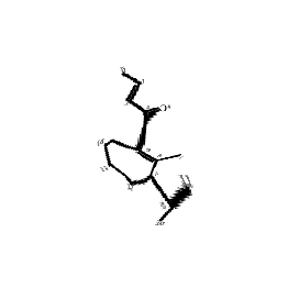 CC=CC(=O)C1=C(C)C(C(C)C)CCC1